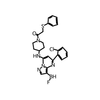 O=C(CSc1ccccc1)N1CCC(Nc2cc(-c3ccccc3Cl)nc3c(BF)cnn23)CC1